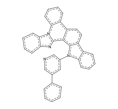 c1ccc(-c2cncc(-n3c4ccccc4c4ccc5c6ccccc6n6c7ccccc7nc6c5c43)c2)cc1